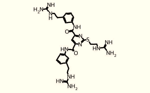 N=C(N)NCCSc1nc(C(=O)Nc2cccc(CCNC(=N)N)c2)cc(C(=O)Nc2cccc(CCNC(=N)N)c2)n1